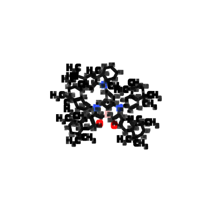 C[SiH](C)c1cc2c3cc1C1(C)CCC(C)(C)c4ccc(cc41)N1c4cc(cc5c4B(c4oc6cc7c(cc6c4N5c4ccc5c(c4)C(C)(C)CCC5(C)C)C(C)(C)CCC7(C)C)c4oc5cc6c(cc5c41)C(C)(C)CCC6(C)C)N3C1(C)CCCCC21C